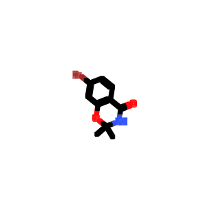 CC1(C)NC(=O)c2ccc(Br)cc2O1